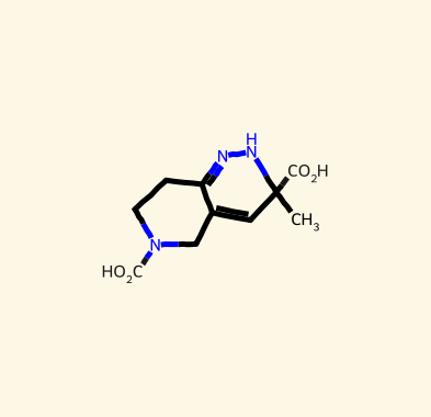 CC1(C(=O)O)C=C2CN(C(=O)O)CCC2=NN1